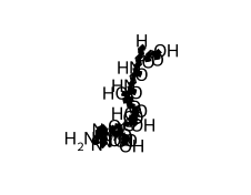 CC[SH](CCNC(=O)CCNC(=O)C(O)C(C)(C)COP(=O)(O)OP(=O)(O)OC[C@H]1O[C@@H](n2cnc3c(N)ncnc32)[C@H](O)[C@@H]1OP(=O)(O)O)C(=O)CC(=O)O